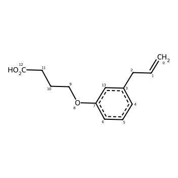 C=CCc1cccc(OCCCC(=O)O)c1